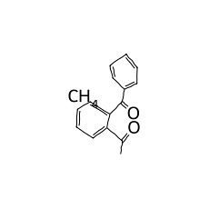 C.CC(=O)c1ccccc1C(=O)c1ccccc1